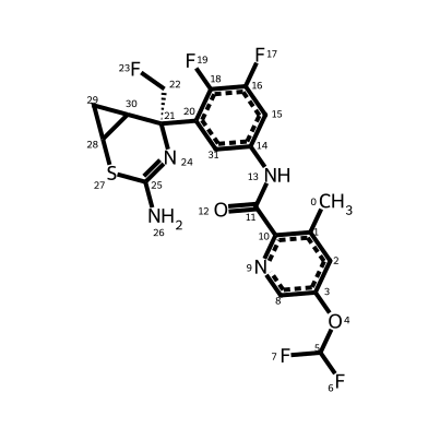 Cc1cc(OC(F)F)cnc1C(=O)Nc1cc(F)c(F)c([C@@]2(CF)N=C(N)SC3CC32)c1